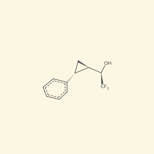 O[C@H]([C@@H]1C[C@H]1c1ccccc1)C(F)(F)F